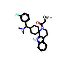 COCC(=O)N1CCc2c([nH]c3ccccc23)C12CCC(C(c1cccc(F)c1)N(C)C)CC2